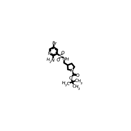 CC(C)(C)OC(=O)N1CCC(CNS(=O)(=O)c2cc(Br)cnc2N)C1